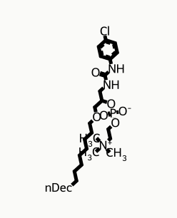 CCCCCCCCCCCCCCCCCCOCC(CNC(=O)Nc1ccc(Cl)cc1)OP(=O)([O-])OCC[N+](C)(C)C